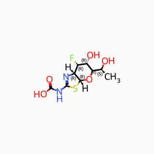 C[C@H](O)[C@H]1O[C@@H]2SC(NC(=O)O)=N[C@@H]2[C@@H](F)[C@@H]1O